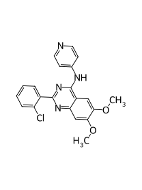 COc1cc2nc(-c3ccccc3Cl)nc(Nc3ccncc3)c2cc1OC